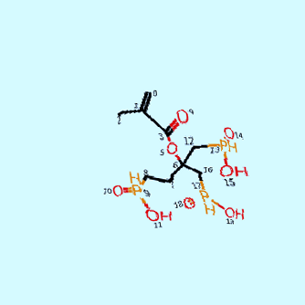 C=C(C)C(=O)OC(CC[PH](=O)O)(C[PH](=O)O)C[PH](=O)O